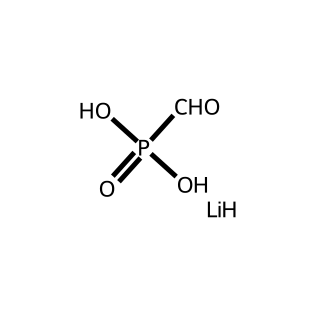 O=CP(=O)(O)O.[LiH]